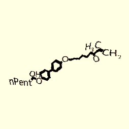 C=C(C)C(=O)CCCCCCOc1ccc(-c2ccc(OC(O)CCCCC)cc2)cc1